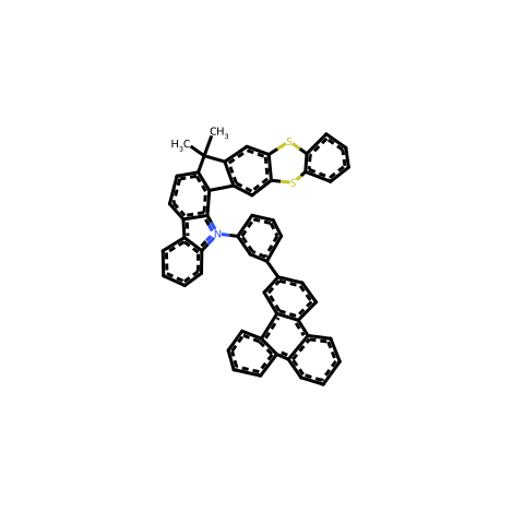 CC1(C)c2cc3c(cc2-c2c1ccc1c4ccccc4n(-c4cccc(-c5ccc6c7ccccc7c7ccccc7c6c5)c4)c21)Sc1ccccc1S3